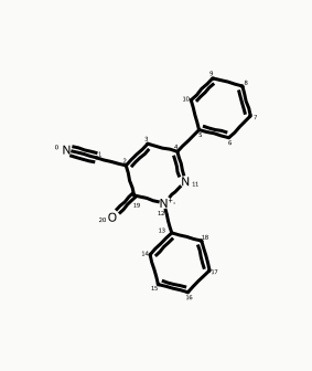 N#CC1=CC(c2ccccc2)=N[N+](c2ccccc2)C1=O